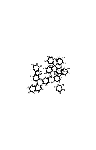 c1ccc(-c2cc(-c3ccccc3)cc(N(c3ccc(-c4ccc5ccccc5c4-c4ccc5c(c4)sc4ccccc45)cc3)c3cccc4c3-c3ccccc3C4(c3ccccc3)c3ccccc3)c2)cc1